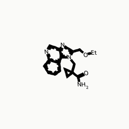 CCOCc1nc2cnc3ccccc3c2n1CC1(C(N)=O)CC1